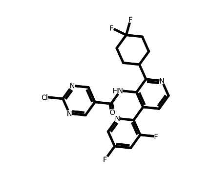 O=C(Nc1c(-c2ncc(F)cc2F)ccnc1C1CCC(F)(F)CC1)c1cnc(Cl)nc1